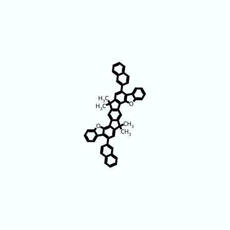 CC1(C)c2cc3c(cc2-c2c1cc(-c1ccc4ccccc4c1)c1c2oc2ccccc21)C(C)(C)c1cc(-c2ccc4ccccc4c2)c2c(oc4ccccc42)c1-3